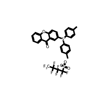 Cc1ccc([S+](c2ccc(C)cc2)c2ccc3oc4ccccc4c(=O)c3c2)cc1.O=S(=O)([O-])C(F)(F)C(F)(F)C(F)(F)C(F)(F)F